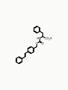 O=C(NC(Cc1ccccc1)C(=O)O)OCc1ccc(/C=C/c2ccccc2)cc1